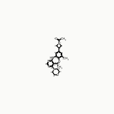 CC(=O)N1CC(c2cc(C)c3c(c2)Nc2ncnc(N4CCOCC4)c2[C@H](C)O3)C1